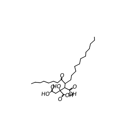 CCCCCCCCCCCCC(C(=O)CCCCCCC)C(C(=O)O)C(O)(CC(=O)O)C(=O)O